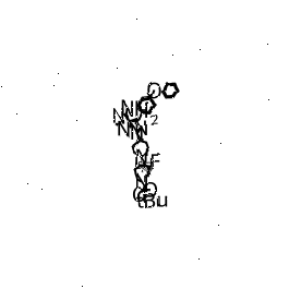 CC(C)(C)OC(=O)N1CC[C@H](N2CCC(n3nc(-c4ccc(Oc5ccccc5)cc4)c4c(N)ncnc43)CC2)[C@@H](F)C1